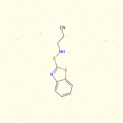 N#CCCNSc1nc2ccccc2s1